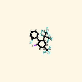 Fc1ccccc1-c1c(I)[c]c(C(F)(F)F)cc1C(F)(C(F)(F)F)C(F)(F)F